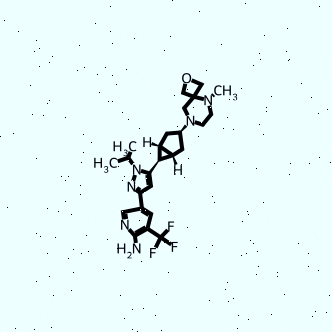 CC(C)n1nc(-c2cnc(N)c(C(F)(F)F)c2)cc1[C@H]1[C@@H]2C[C@@H](N3CCN(C)C4(COC4)C3)C[C@@H]21